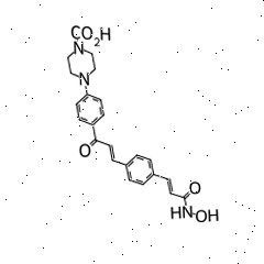 O=C(/C=C/c1ccc(/C=C/C(=O)c2ccc(N3CCN(C(=O)O)CC3)cc2)cc1)NO